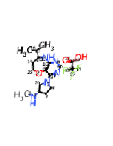 CN[C@@H]1CCN(c2ncnc3c2OCC[C@@H](C(C)C)N3)C1.O=C(O)C(F)(F)F